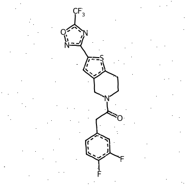 O=C(Cc1ccc(F)c(F)c1)N1CCc2sc(-c3noc(C(F)(F)F)n3)cc2C1